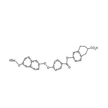 CCCCCCCCCCOc1ccc2cc(OOc3ccc(C(=O)Oc4ccc5c(c4)CCC(C(=O)O)C5)cc3)ccc2c1